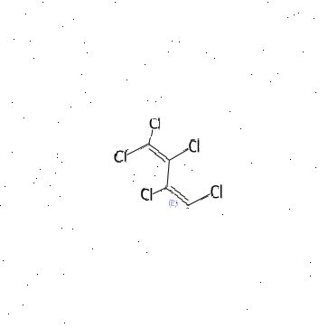 Cl/[C]=C(/Cl)C(Cl)=C(Cl)Cl